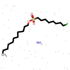 CCCCCCCCCCCOS(=O)(=O)CCCCCCCCF.N